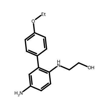 CCOc1ccc(-c2cc(N)ccc2NCCO)cc1